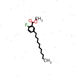 CCCCCCCCCCCc1ccc(F)c(C(=O)OC)c1